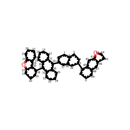 c1cc(-c2ccc3ccc(-c4c5ccccc5c(-c5cccc6oc7ccccc7c56)c5ccccc45)cc3c2)c2cc3occc3cc2c1